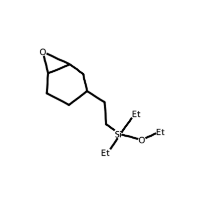 CCO[Si](CC)(CC)CCC1CCC2OC2C1